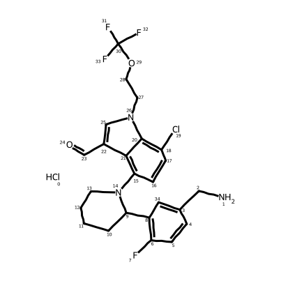 Cl.NCc1ccc(F)c(C2CCCCN2c2ccc(Cl)c3c2c(C=O)cn3CCOC(F)(F)F)c1